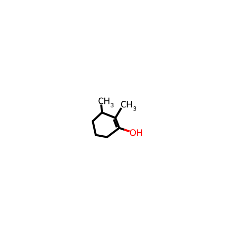 CC1=C(O)CCCC1C